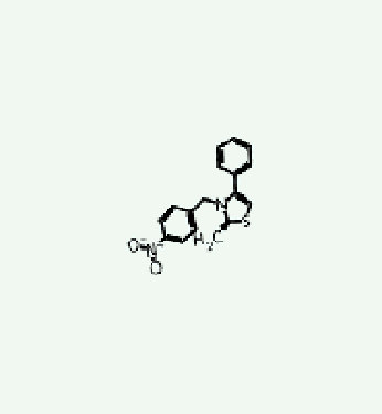 C=C1SC=C(c2ccccc2)N1Cc1ccc([N+](=O)[O-])cc1